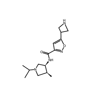 CC(C)N1C[C@H](C)[C@H](NC(=O)c2cc(C3CNC3)on2)C1